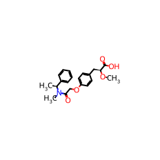 CO[C@@H](Cc1ccc(OCC(=O)N(C)[C@@H](C)c2ccccc2)cc1)C(=O)O